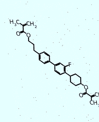 C=C(C)C(=O)OCCCc1ccc(-c2ccc(C3CCC(OC(=O)C(=C)C)CC3)c(F)c2)cc1